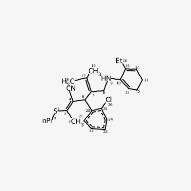 CCCS/C(C)=C(\C#N)C(C(CNC1=CCCC=C1CC)=C(C)C)c1ccccc1Cl